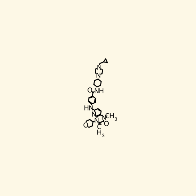 C[C@@H]1C(=O)N(C)c2ccc(Nc3ccc(C(=O)N[C@H]4CC[C@H](N5CCN(CC6CC6)CC5)CC4)cc3)nc2N1C1CCOCC1